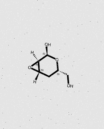 OC[C@@H]1C[C@@H]2O[C@H]2[C@@H](O)O1